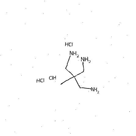 CC(CN)(CN)CN.Cl.Cl.Cl